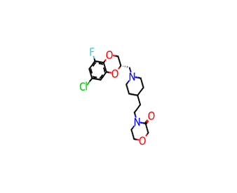 O=C1COCCN1CCC1CCN(C[C@H]2COc3c(F)cc(Cl)cc3O2)CC1